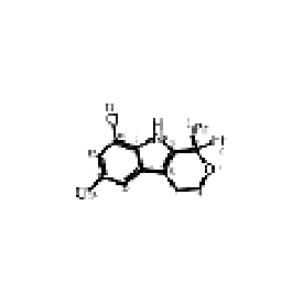 CCCC1(CC)OCCc2c1[nH]c1c(Cl)cc(Cl)cc21